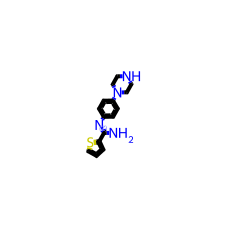 N/C(=N\c1ccc(N2CCNCC2)cc1)c1cccs1